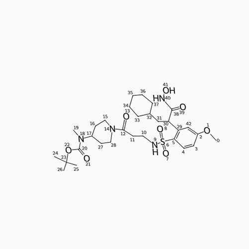 COc1ccc(S(=O)(=O)NCCC(=O)N2CCC(N(C)C(=O)OC(C)(C)C)CC2)c(C(CC2CCCCC2)C(=O)NO)c1